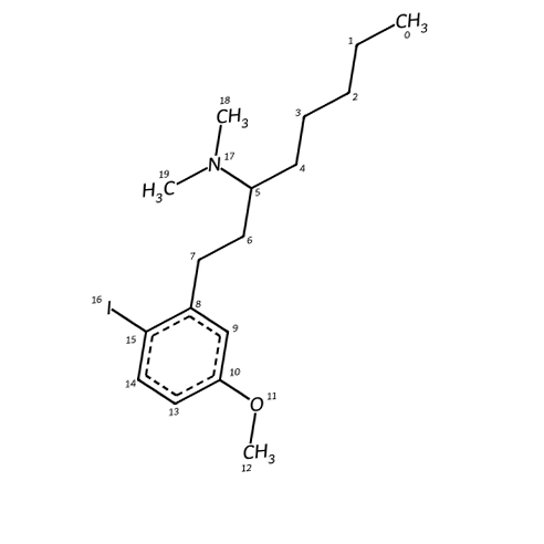 CCCCCC(CCc1cc(OC)ccc1I)N(C)C